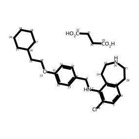 Clc1ccc2c(c1NCc1ccc(OCCC3CCCCC3)cc1)CCNCC2.O=C(O)CCC(=O)O